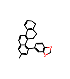 Cc1cc(-c2ccc3c(c2)OCO3)c2c3c(ccc2c1)C1=C(CCC=C1)CC3